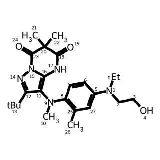 CCN(CCO)c1ccc(N(C)c2c(C(C)(C)C)nn3c2NC(=O)C(C)(C)C3=O)c(C)c1